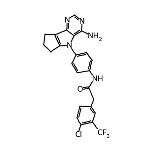 Nc1ncnc2c3c(n(-c4ccc(NC(=O)Cc5ccc(Cl)c(C(F)(F)F)c5)cc4)c12)CCC3